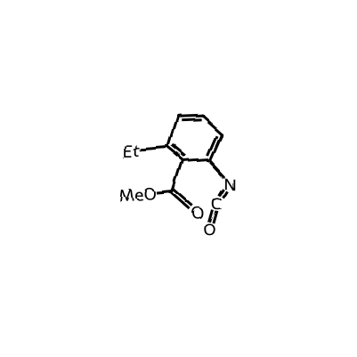 CCc1cccc(N=C=O)c1C(=O)OC